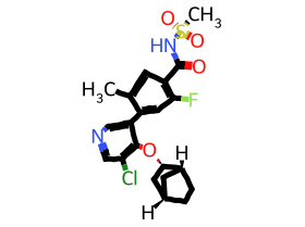 Cc1cc(C(=O)NS(C)(=O)=O)c(F)cc1-c1cncc(Cl)c1O[C@H]1C[C@H]2CC[C@@H]1C2